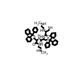 CNCCNC(=O)C(CSC(c1ccccc1)(c1ccccc1)c1ccccc1)NC(=O)C(CSC(c1ccccc1)(c1ccccc1)c1ccccc1)NC(=O)C(CS)NCCNC